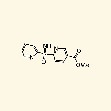 COC(=O)c1ccc(S(=N)(=O)c2ccccn2)nc1